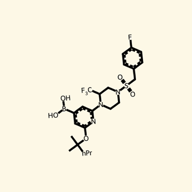 CCCC(C)(C)Oc1cc(B(O)O)cc(N2CCN(S(=O)(=O)Cc3ccc(F)cc3)CC2C(F)(F)F)n1